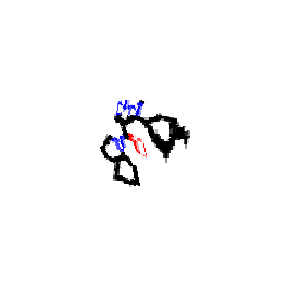 Cc1ccc(-c2c(C(=O)N3CCCC4CCCCC43)cnn2C)cc1